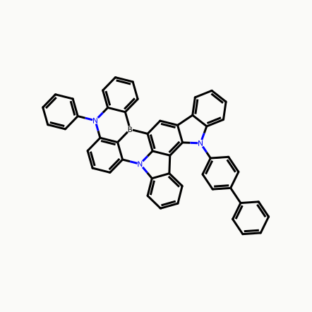 c1ccc(-c2ccc(-n3c4ccccc4c4cc5c6c(c7ccccc7n6-c6cccc7c6B5c5ccccc5N7c5ccccc5)c43)cc2)cc1